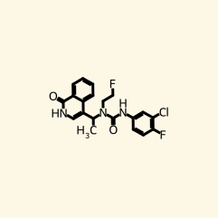 CC(c1c[nH]c(=O)c2ccccc12)N(CCF)C(=O)Nc1ccc(F)c(Cl)c1